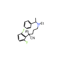 CCN(CCCC(C#N)(c1c(F)cccc1F)C(C)C)C(C)c1ccccc1